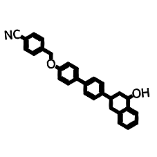 N#Cc1ccc(COc2ccc(-c3ccc(C4Cc5ccccc5C(O)C4)cc3)cc2)cc1